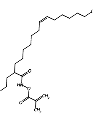 C=C(C)C(=O)ONC(=O)C(CCC)CCCCCC/C=C\CCCCCC